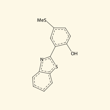 CSc1ccc(O)c(-c2nc3ccccc3s2)c1